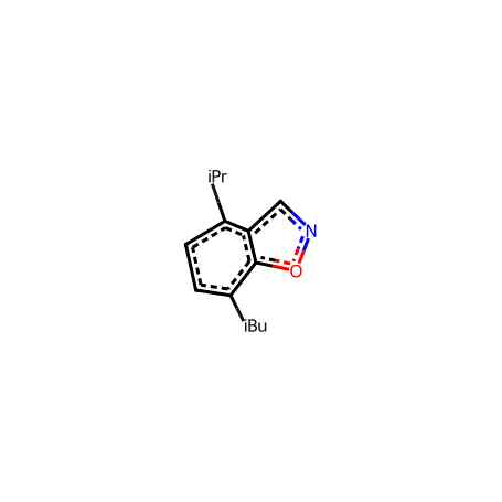 CCC(C)c1ccc(C(C)C)c2cnoc12